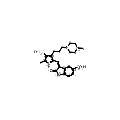 CCOC(=O)c1c(C)[nH]c(C=C2C(=O)Nc3ccc(C(=O)O)cc32)c1CCCN1CCN(C)CC1